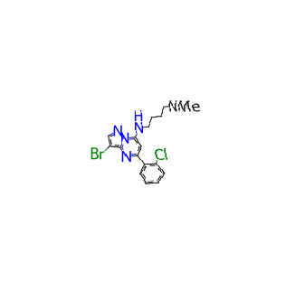 CNCCCCNc1cc(-c2ccccc2Cl)nc2c(Br)cnn12